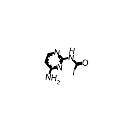 Nc1ccnc(NC(=O)I)n1